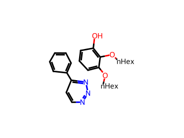 CCCCCCOc1cccc(O)c1OCCCCCC.c1ccc(-c2ccnnn2)cc1